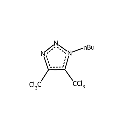 CCCCn1nnc(C(Cl)(Cl)Cl)c1C(Cl)(Cl)Cl